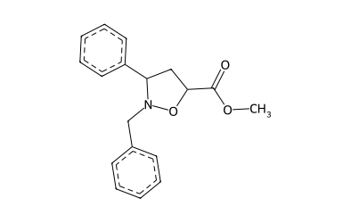 COC(=O)C1CC(c2ccccc2)N(Cc2ccccc2)O1